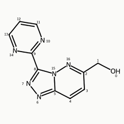 OCc1ccc2nnc(-c3ncccn3)n2n1